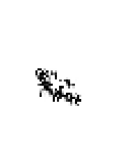 Cc1nc(SC(C)(C)C(=O)O)sc1CCNc1ncc(-c2ccc(OC(F)(F)F)cc2)cn1.Cl